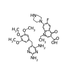 CCn1cc(C(=O)O)c(=O)c2cc(F)c(N3CCNCC3)cc21.COc1cc(Cc2cnc(N)nc2N)cc(OC)c1OC